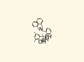 CCCC(C)(Pc1c(C)cccc1CN(Cc1ccccc1)Cc1ccccc1)c1cc(C)cc(C)c1O